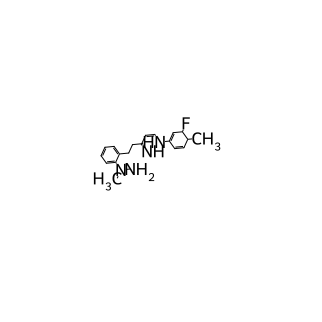 CC1C=CC(N/C=C\C(=N)CCc2ccccc2N(C)N)=CC1F